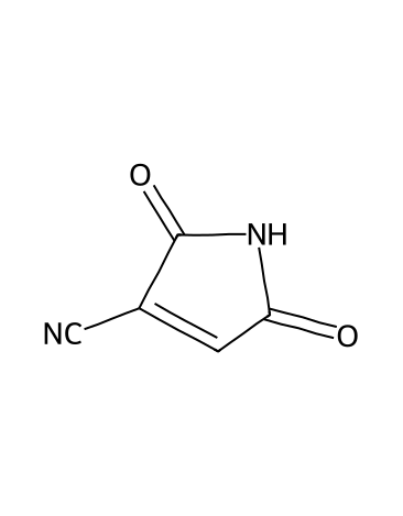 N#CC1=CC(=O)NC1=O